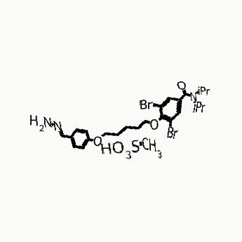 CC(C)N(C(=O)c1cc(Br)c(OCCCCCOc2ccc(C=NN)cc2)c(Br)c1)C(C)C.CS(=O)(=O)O